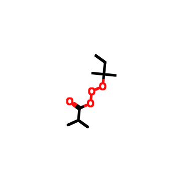 CCC(C)(C)OOOC(=O)C(C)C